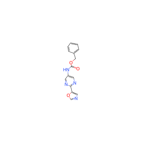 O=C(Nc1cnc(-c2cnco2)nc1)OCc1ccccc1